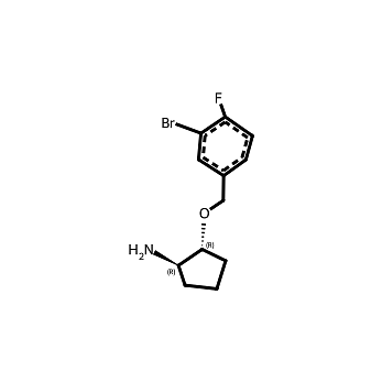 N[C@@H]1CCC[C@H]1OCc1ccc(F)c(Br)c1